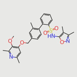 COc1c(OCc2ccc(-c3ccccc3S(=O)(=O)Nc3onc(C)c3C)c(C)c2)cc(C)nc1C